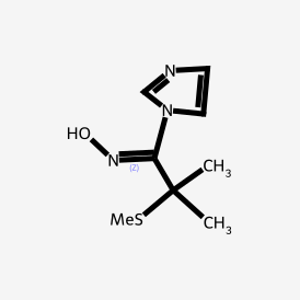 CSC(C)(C)/C(=N/O)n1ccnc1